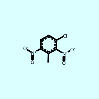 Cc1c([N+](=O)[O-])ccc(Cl)c1[N+](=O)[O-]